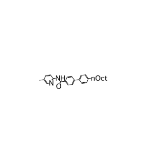 CCCCCCCCc1ccc(-c2ccc(C(=O)Nc3ccc(C)cn3)cc2)cc1